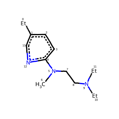 CCc1ccc(N(C)CCN(CC)CC)nc1